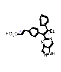 CC/C(=C(/c1ccc(/C=C/C(=O)O)cc1)c1ncc2[nH]ncc2n1)c1ccccc1